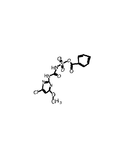 COc1cc(Cl)nc(NC(=O)NS(=O)(=O)OC(=O)c2ccccc2)n1